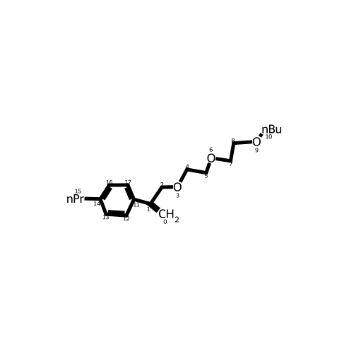 C=C(COCCOCCOCCCC)c1ccc(CCC)cc1